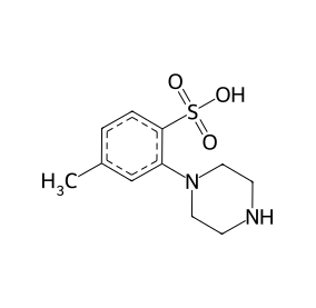 Cc1ccc(S(=O)(=O)O)c(N2CCNCC2)c1